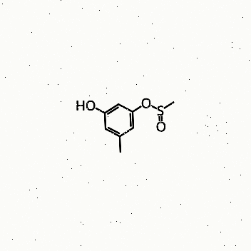 Cc1cc(O)cc(OS(C)=O)c1